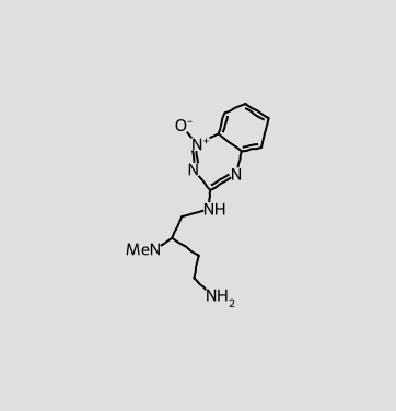 CNC(CCN)CNc1nc2ccccc2[n+]([O-])n1